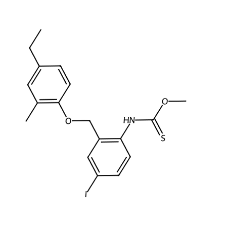 CCc1ccc(OCc2cc(I)ccc2NC(=S)OC)c(C)c1